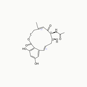 CC(=O)N[C@@H]1C(=O)/C=C(/C)CCOC(=O)c2c(O)cc(O)cc2/C=C/C[C@@H]1O